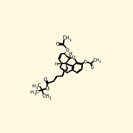 CC(=O)Oc1ccc2c3c1O[C@H]1[C@@H](OC(C)=O)C=C[C@H]4C(C2)N(CCCC(=O)OC(C)(C)C)CC[C@@]341